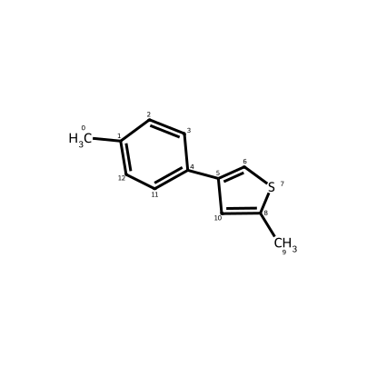 Cc1ccc(-c2csc(C)c2)cc1